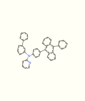 c1ccc(-c2cccc(N(c3ccc(-c4c5ccccc5c(-c5ccccc5)c5ccccc45)cc3)c3ccccn3)c2)cc1